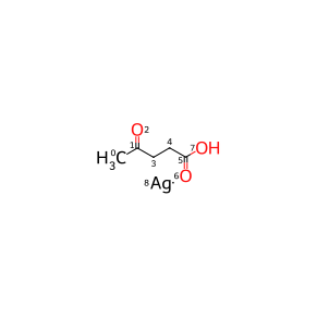 CC(=O)CCC(=O)O.[Ag]